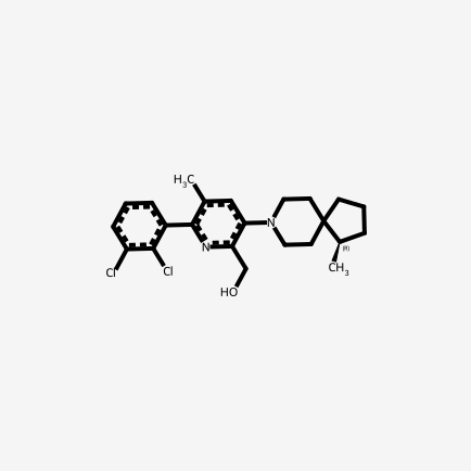 Cc1cc(N2CCC3(CCC[C@H]3C)CC2)c(CO)nc1-c1cccc(Cl)c1Cl